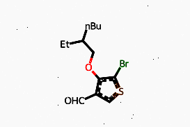 CCCCC(CC)COc1c(C=O)csc1Br